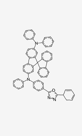 C1=CCC(c2nnc(-c3ccc(N(c4ccccc4)c4ccc5c(c4)C4(c6ccccc6-c6ccccc64)c4cc(N(c6ccccc6)c6ccccc6)ccc4-5)cc3)o2)C=C1